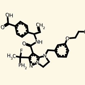 C=CC(NC(=O)c1c(C(C)(F)P)nn2c1N(Cc1cccc(OCCF)c1)CC2)c1ccc(C(=O)O)cc1